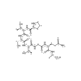 C[C@H](NC(=O)[C@H](CCC(N)=O)NC(=O)CNC(=O)[C@@H](NC(=O)[C@H](CO)NC(=O)[C@@H](NC(=O)[C@@H]1CCCN1)[C@@H](C)O)[C@@H](C)O)C(=O)O